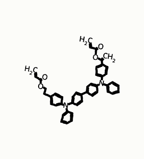 C=CC(=O)OCCc1ccc(N(c2ccccc2)c2ccc(-c3ccc(N(c4ccccc4)c4ccc(C(=C)OC(=O)C=C)cc4)cc3)cc2)cc1